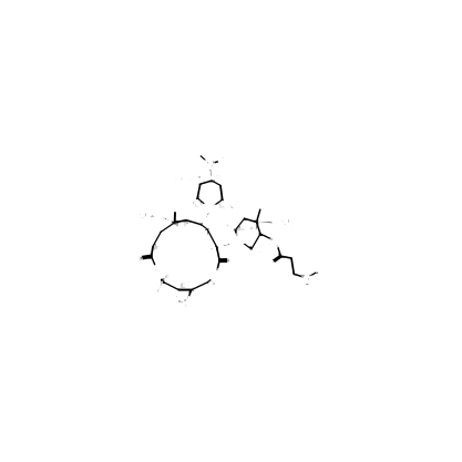 CC[C@H]1OC(=O)[C@H](C)[C@@H](O[C@H]2C[C@@](C)(OC)C(OC(=O)CCN(CC)CC)[C@H](C)O2)[C@H](C)[C@@H](O[C@@H]2O[C@H](C)C[C@H](N(C)C(C)=O)[C@H]2O)[C@](C)(OC)C[C@@H](C)C(=O)N[C@H](C)[C@@H](O)[C@]1(C)O